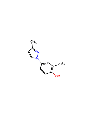 Cc1ccn(-c2ccc(O)c(C)c2)n1